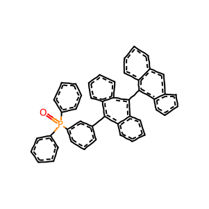 O=P(c1ccccc1)(c1ccccc1)c1cccc(-c2c3ccccc3c(-c3c4ccccc4cc4ccccc34)c3ccccc23)c1